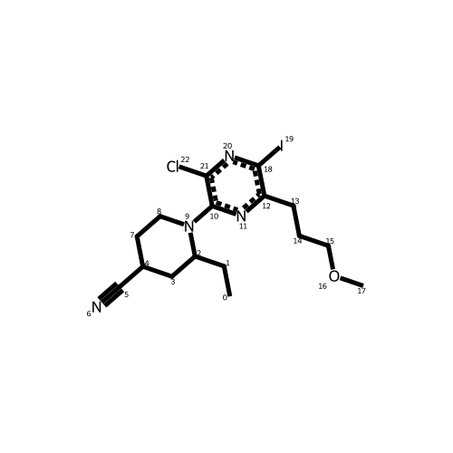 CCC1CC(C#N)CCN1c1nc(CCCOC)c(I)nc1Cl